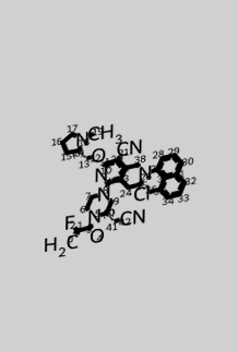 C=C(F)C(=O)N1CCN(c2nc(OC[C@@H]3CCCN3C)c(C#N)c3c2CCN(c2cccc4cccc(Cl)c24)C3)C[C@@H]1CC#N